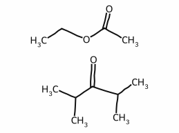 CC(C)C(=O)C(C)C.CCOC(C)=O